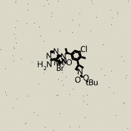 COc1c(C(C)n2nc(Br)c3c(N)ncnc32)cc(Cl)c(C)c1C1CN(C(=O)OC(C)(C)C)C1